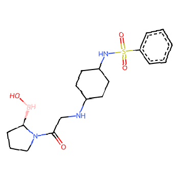 O=C(CNC1CCC(NS(=O)(=O)c2ccccc2)CC1)N1CCC[C@H]1BO